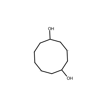 OC1C[CH]CCCC(O)C[CH]C1